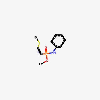 CCOP(=O)(/C=C\SCC)Nc1ccccc1